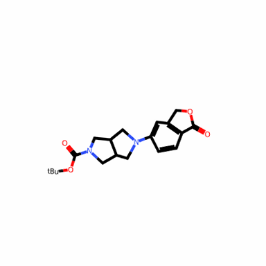 CC(C)(C)OC(=O)N1CC2CN(c3ccc4c(c3)COC4=O)CC2C1